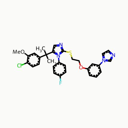 COc1cc(C(C)(C)c2cnc(SCCOc3cccc(-n4ccnc4)c3)n2-c2ccc(F)cc2)ccc1Cl